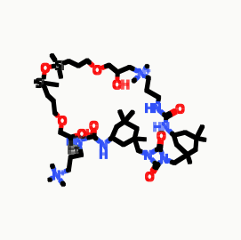 CCC(O)COCCC[Si](C)(C)O[Si](C)(C)CCCOCC(O)C[N+](C)(C)CCCNC(=O)NC1CC(C)(C)CC(C)(CN2C(=O)N(CC3(C)CC(NC(=O)NCCC[N+](C)(C)C)CC(C)(C)C3)C2=O)C1